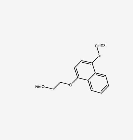 CCCCCCSc1ccc(OCCOC)c2ccccc12